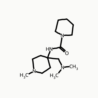 CN(C)CC1(NC(=O)N2CCCCC2)CCN(C)CC1